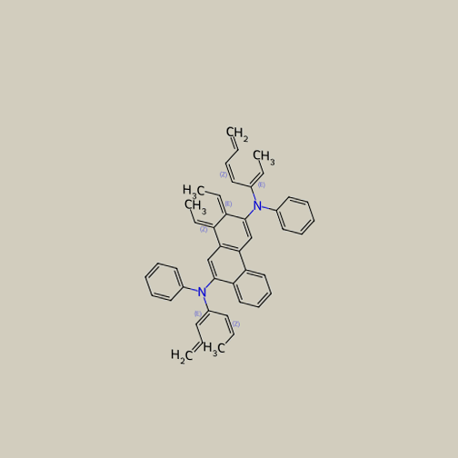 C=C/C=C\C(=C/C)N(c1ccccc1)c1cc2c(cc(N(C(/C=C\C)=C/C=C)c3ccccc3)c3ccccc32)c(=C/C)/c1=C\C